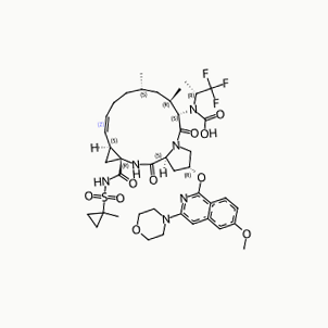 COc1ccc2c(O[C@@H]3C[C@H]4C(=O)N[C@]5(C(=O)NS(=O)(=O)C6(C)CC6)C[C@H]5/C=C\CC[C@H](C)C[C@@H](C)[C@H](N(C(=O)O)[C@H](C)C(F)(F)F)C(=O)N4C3)nc(N3CCOCC3)cc2c1